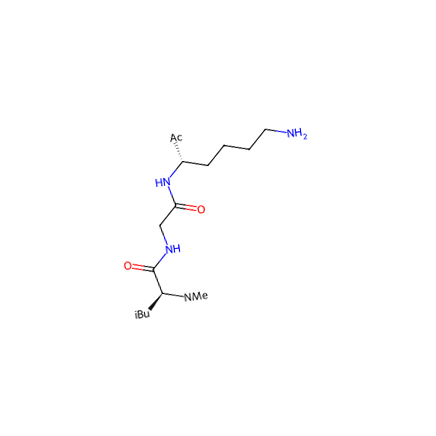 CCC(C)[C@H](NC)C(=O)NCC(=O)N[C@@H](CCCCN)C(C)=O